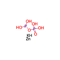 O=P(O)(O)OP(O)O.[KH].[Zn]